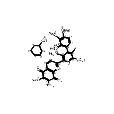 COC1=C(N)C(=O)c2nc(-c3nc(C(=O)O)c(C)c(-c4ccc(OC)c(OC)c4O)c3N)ccc2C1=O.OC1CCCCC1